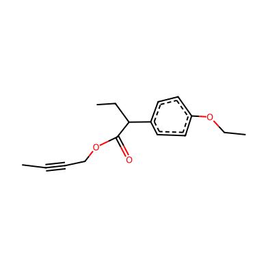 CC#CCOC(=O)C(CC)c1ccc(OCC)cc1